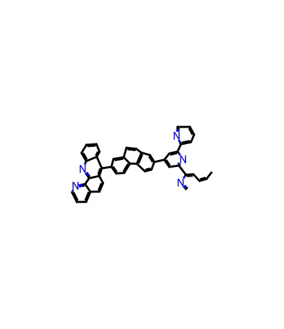 C=N/C(=C\C=C/C)c1cc(-c2ccc3c(ccc4cc(-c5c6ccccc6nc6c5ccc5cccnc56)ccc43)c2)cc(-c2ccccn2)n1